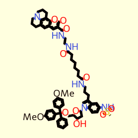 COc1ccc(C(OCC2OC(n3cc(CCCNC(=O)CCCCCCC(=O)NCCNC(=O)c4cc5cc6c7c(c5oc4=O)CCCN7CCC6)c4cc(NS(C)(=O)=O)ccc43)CC2O)(c2ccccc2)c2ccc(OC)cc2)cc1